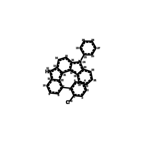 Clc1ccccc1-c1cccc2[nH]c3ccc4c(c5ccccc5n4-c4ccccc4)c3c12